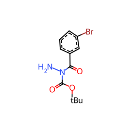 CC(C)(C)OC(=O)N(N)C(=O)c1cccc(Br)c1